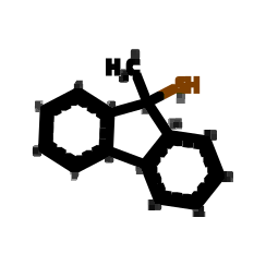 CC1(S)c2ccccc2-c2ccccc21